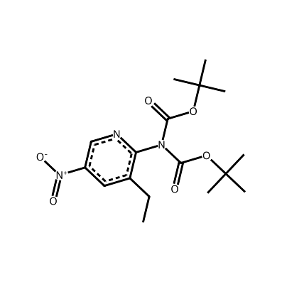 CCc1cc([N+](=O)[O-])cnc1N(C(=O)OC(C)(C)C)C(=O)OC(C)(C)C